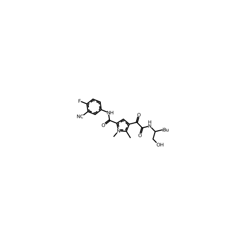 CCC(C)C(CO)NC(=O)C(=O)c1cc(C(=O)Nc2ccc(F)c(C#N)c2)n(C)c1C